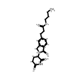 CCCCOC(=O)CCc1ccc2c(c1)CN(C1CCC(=O)NC1=O)C2=O